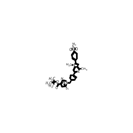 Cc1nc(-c2ccc(CN3C[C@H]4CC[C@@H]3CN4C(=O)OC(C)(C)C)cc2)cc2c1cc(-c1ccc(S(C)(=O)=O)cc1)n2C